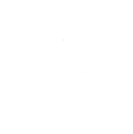 O=C(O)c1sc2ccccc2c1O